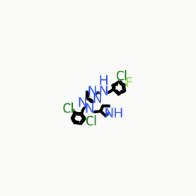 Fc1ccc(CNc2ncc3nc(-c4c(Cl)cccc4Cl)n(CC4CCNC4)c3n2)cc1Cl